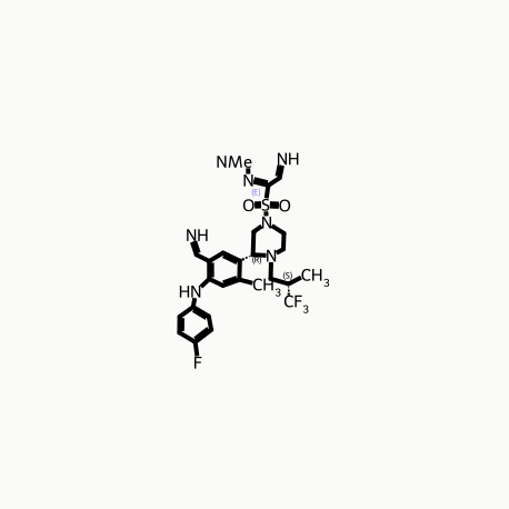 CN/N=C(\C=N)S(=O)(=O)N1CCN(C[C@H](C)C(F)(F)F)[C@H](c2cc(C=N)c(Nc3ccc(F)cc3)cc2C)C1